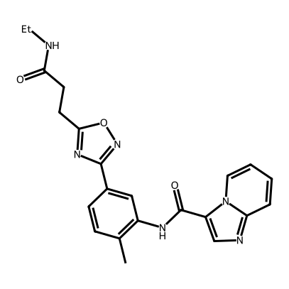 CCNC(=O)CCc1nc(-c2ccc(C)c(NC(=O)c3cnc4ccccn34)c2)no1